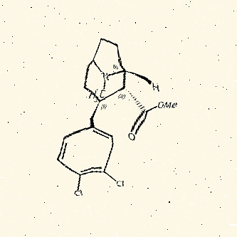 COC(=O)[C@@H]1[C@@H](c2ccc(Cl)c(Cl)c2)CC2CC[C@H]1N2C